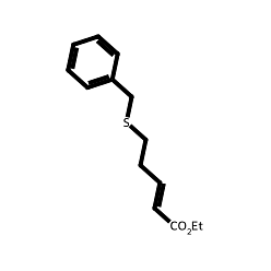 CCOC(=O)C=CCCSCc1ccccc1